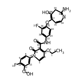 CCOc1ccn(-c2ccc(F)c(OO)c2)c(=O)c1C(=O)Nc1ccc(OC2=C(O)CC(N)=NC=C2)c(F)c1